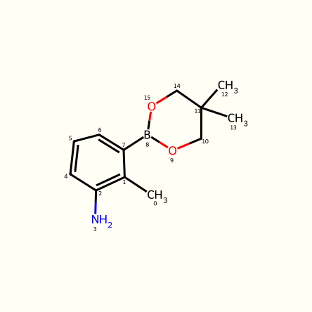 Cc1c(N)cccc1B1OCC(C)(C)CO1